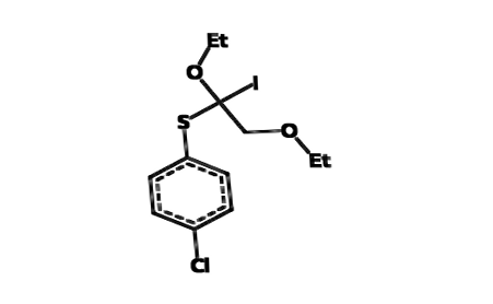 CCOCC(I)(OCC)Sc1ccc(Cl)cc1